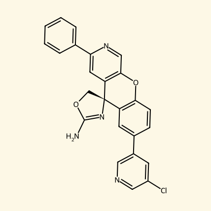 NC1=N[C@@]2(CO1)c1cc(-c3cncc(Cl)c3)ccc1Oc1cnc(-c3ccccc3)cc12